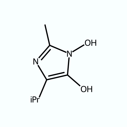 Cc1nc(C(C)C)c(O)n1O